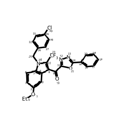 CCOc1ccc2c(c1)c(C(=O)c1nnc(-c3ccccc3)o1)c(C(F)(F)F)n2Cc1ccc(Cl)cc1